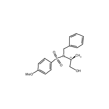 COc1ccc(S(=O)(=O)N(Cc2ccccc2)[C@@H](C)CO)cc1